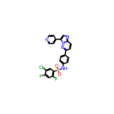 O=S(=O)(Nc1ccc(-c2ccc3ncc(-c4ccncc4)n3n2)cc1)c1cc(Cl)c(F)cc1F